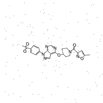 Cc1cc(C(=O)N2CCC(Oc3ncnc4c3cnn4-c3ccc(S(C)(=O)=O)cc3)CC2)no1